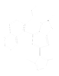 Cc1noc(C)c1-c1cc(-c2c(OCC(F)(F)F)ccc3ncccc23)c2[nH]c(=O)[nH]c2c1